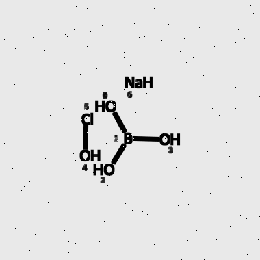 OB(O)O.OCl.[NaH]